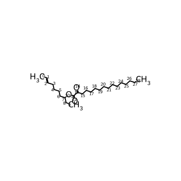 CC=CCCCCC(CC)OC(=O)C(=O)CCCCCCCCCCCCCC